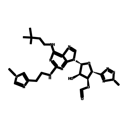 Cn1cnc(CCNc2nc(NCCC(C)(C)C)c3ncn([C@@H]4O[C@H](c5nnn(C)n5)[C@@H](OC=O)[C@H]4O)c3n2)c1